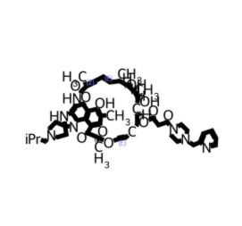 C/C1=C/C=C/C(C)[C@H](O)[C@@H](C)[C@@H](O)C[C@H](OC(=O)CC(=O)N2CCN(Cc3ccccn3)CC2)CC/C=C/O[C@@]2(C)Oc3c(C)c(O)c4c(c3C2=O)C2=NC3(CCN(CC(C)C)CC3)NC2=C(NC1=O)C4=O